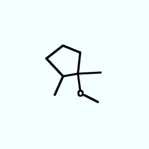 COC1(C)CCCC1C